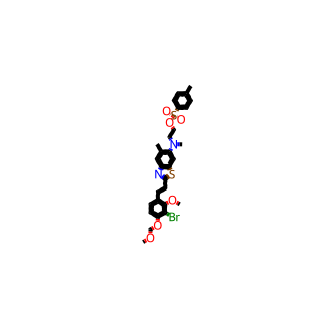 COCOc1ccc(C=Cc2nc3cc(C)c(N(C)CCOS(=O)(=O)c4ccc(C)cc4)cc3s2)c(OC)c1Br